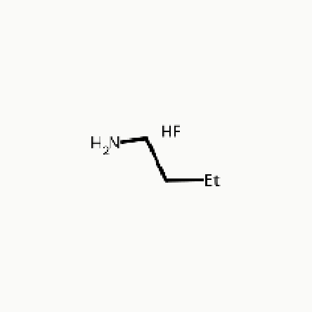 CCCCN.F